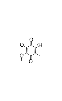 [2H]C1=C(C)C(=O)C(OC)=C(OC)C1=O